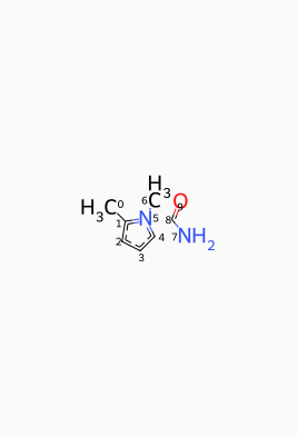 Cc1cccn1C.NC=O